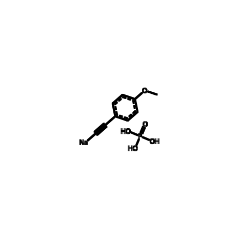 COc1ccc(C#[C][Na])cc1.O=P(O)(O)O